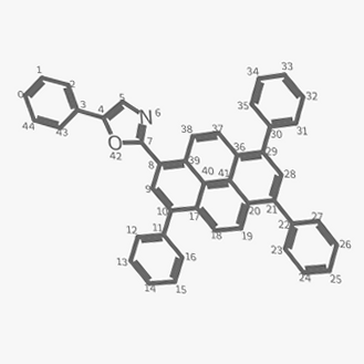 c1ccc(-c2cnc(-c3cc(-c4ccccc4)c4ccc5c(-c6ccccc6)cc(-c6ccccc6)c6ccc3c4c56)o2)cc1